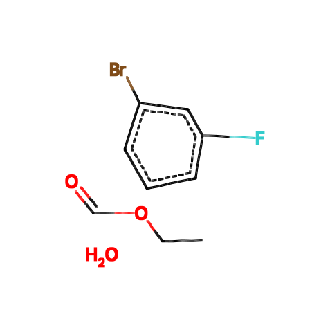 CCOC=O.Fc1cccc(Br)c1.O